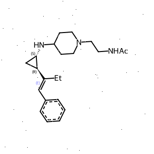 CC/C(=C\c1ccccc1)[C@H]1C[C@@H]1NC1CCN(CCNC(C)=O)CC1